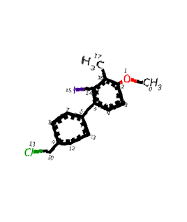 COc1ccc(-c2ccc(CCl)cc2)c(I)c1C